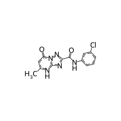 Cc1cc(=O)n2nc(C(=O)Nc3cccc(Cl)c3)nc2[nH]1